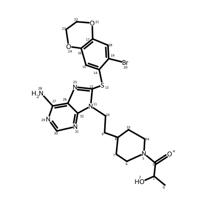 CC(O)C(=O)N1CCC(CCn2c(Sc3cc4c(cc3Br)OCCO4)nc3c(N)ncnc32)CC1